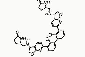 O=C1CC[C@H](CN[C@@H]2COc3nc(-c4cccc(-c5cccc(-c6ccc7c(n6)OC[C@H]7NC[C@H]6CCC(=O)N6)c5Cl)c4Cl)ccc32)N1